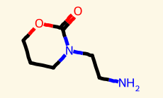 NCCN1CCCOC1=O